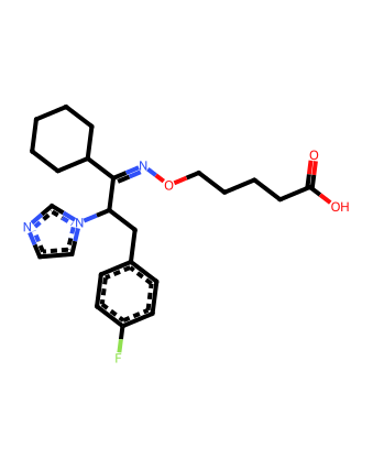 O=C(O)CCCCON=C(C1CCCCC1)C(Cc1ccc(F)cc1)n1ccnc1